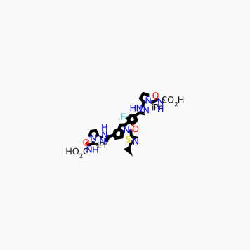 CC(C)C(C(=O)NC(=O)O)N1CCCC1c1ncc(-c2cc(F)c3c(c2)OC(c2cnc(C4CC4)s2)n2c-3cc3cc(-c4cnc([C@@H]5CCCN5C(C(=O)NC(=O)O)C(C)C)[nH]4)ccc32)[nH]1